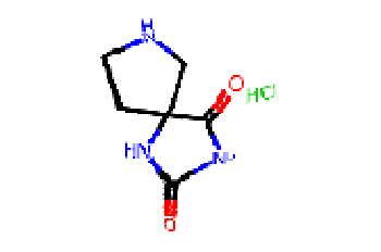 Cl.O=C1NC(=O)C2(CCNC2)N1